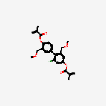 C=C(C)C(=O)Oc1cc(F)c(-c2ccc(OC(=O)C(=C)C)c(COC)c2)c(COC)c1